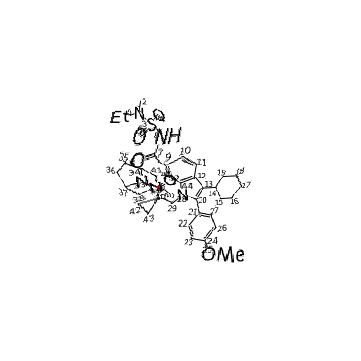 CCN(C)S(=O)(=O)NC(=O)c1ccc2c(C3CCCCC3)c(-c3ccc(OC)cc3)n(CC3(C(=O)N4C5CCC4CN(C)C5)CC3)c2c1